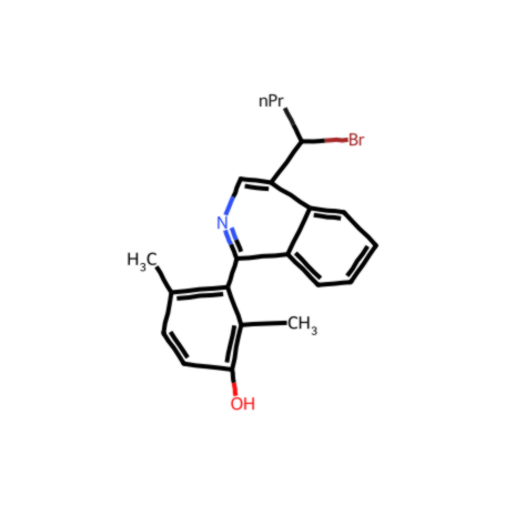 CCCC(Br)c1cnc(-c2c(C)ccc(O)c2C)c2ccccc12